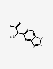 C=C(C)C(N)c1ccc2occc2c1